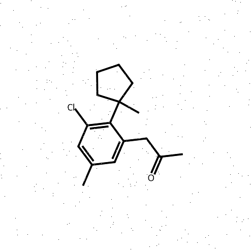 CC(=O)Cc1cc(C)cc(Cl)c1C1(C)CCCC1